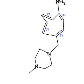 CN1CCN(CC2=C/C=C(N)\C=C\C=C\2)CC1